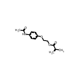 C=C(C)C(=O)OCCOc1ccc(NC(C)=O)cc1